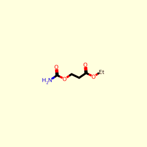 CCOC(=O)CCOC(N)=O